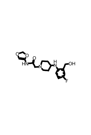 O=C(CN1CCC(Nc2ccc(F)cc2CO)CC1)NC1=COCO1